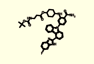 CC(C)(C)OC(=O)NCCC(=O)OC1CCC(Nc2cc(-n3c4ccccc4c4c(-c5nc6ccc(F)cc6[nH]5)cccc43)ccc2C(N)=O)CC1